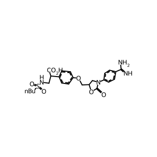 CCCCS(=O)(=O)NCC(C(=O)O)c1ccc(OCC2CN(c3ccc(C(=N)N)cc3)C(=O)O2)cc1